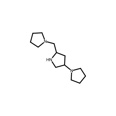 C1CCN(CC2CC(N3CCCC3)CN2)C1